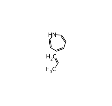 C1=CC=CNC=C1.C=CC